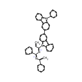 C=C/C(=N\C(=N/C(=C)c1ccccc1)c1ccccc1)n1c2ccccc2c2cc(-c3ccc4c(c3)c3ccccc3n4-c3ccccc3)ccc21